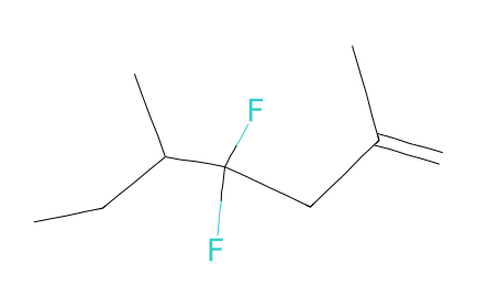 C=C(C)CC(F)(F)C(C)CC